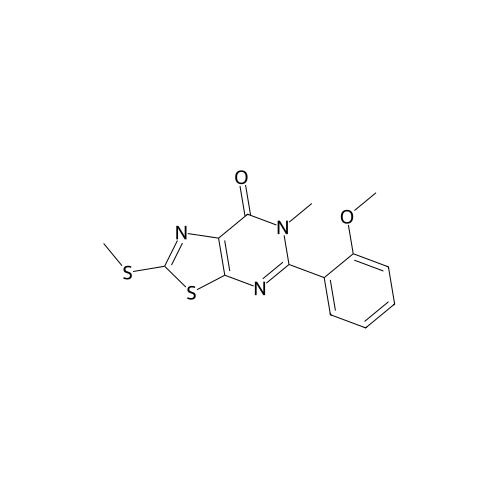 COc1ccccc1-c1nc2sc(SC)nc2c(=O)n1C